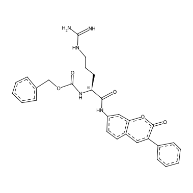 N=C(N)NCCC[C@H](NC(=O)OCc1ccccc1)C(=O)Nc1ccc2cc(-c3ccccc3)c(=O)oc2c1